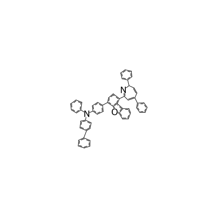 C1=CC(c2ccccc2)N=C(c2ccc(-c3ccc(N(c4ccccc4)c4ccc(-c5ccccc5)cc4)cc3)c3oc4ccccc4c23)C=C1c1ccccc1